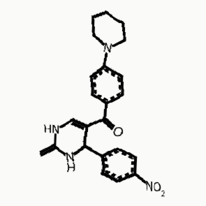 C=C1NC=C(C(=O)c2ccc(N3CCCCC3)cc2)C(c2ccc([N+](=O)[O-])cc2)N1